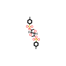 Cc1ccc(S(=O)(=O)O[C@H]2CO[C@H]3[C@@H]2OC[C@@H]3OS(=O)(=O)c2ccc(C)cc2)cc1